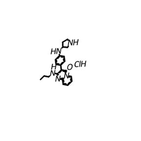 CCCNc1nc2ccccn2c(=O)c1-c1ccc(NC2CCNC2)cc1.Cl